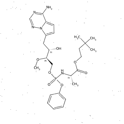 CO[C@H](COP(=O)(N[C@@H](C)C(=O)OCCC(C)(C)C)Oc1ccccc1)[C@@H](O)Cc1ccc2c(N)ncnn12